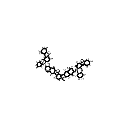 Cc1c(N(c2ccccc2)c2ccc3cc4c(cc3c2)oc2c4ccc3oc4cc5cc(N(c6ccccc6)c6ccc7oc8ccccc8c7c6C)ccc5cc4c32)ccc2oc3ccccc3c12